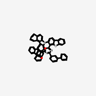 c1ccc(-c2cccc(-c3nc(-c4cc5ccccc5c5ccccc45)nc(-c4c(-n5c6cc7ccccc7cc6c6c7ccccc7ccc65)ccc5c4oc4ccccc45)n3)c2)cc1